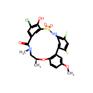 COc1ccc2c(c1)-c1cc(c(F)cc1F)NS(=O)(=O)c1cc(cc(Cl)c1O)C(=O)N(C)C[C@H](C)O2